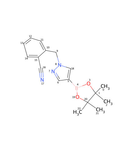 CC1(C)OB(c2cnn(Cc3ccccc3C#N)c2)OC1(C)C